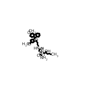 CCCCC(O)C(=O)NN(CC(=O)NCCCCOC(c1ccccc1)(c1ccc(OC)cc1)c1ccc(OC)cc1)C(=O)CN